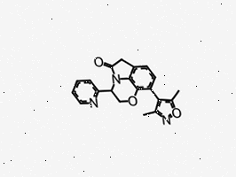 Cc1noc(C)c1-c1ccc2c3c1OCC(c1ccccn1)N3C(=O)C2